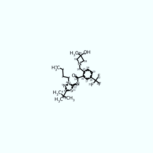 CCCCn1nc(C(C)(C)C)sc1=NC(=O)c1cc(C(F)(F)F)ccc1CN1CC(C)(O)C1